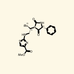 CC[C@H](C)[C@@H](CNc1nc(C(=O)OC)cs1)N1C(=O)N[C@H](c2ccccc2)C1=O